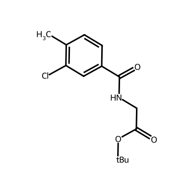 Cc1ccc(C(=O)NCC(=O)OC(C)(C)C)cc1Cl